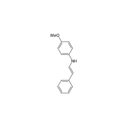 COc1ccc(NC=Cc2ccccc2)cc1